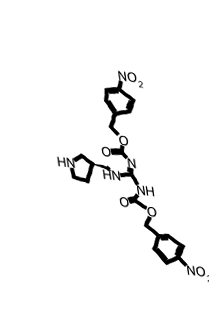 O=C(/N=C(\NC[C@H]1CCNC1)NC(=O)OCc1ccc([N+](=O)[O-])cc1)OCc1ccc([N+](=O)[O-])cc1